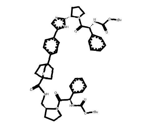 CC(C)(C)OC(=O)N[C@@H](C(=O)N1CCC[C@H]1CNC(=O)C12CCC(c3ccc(-c4cnc([C@@H]5CCCN5C(=O)[C@H](NC(=O)OC(C)(C)C)c5ccccc5)[nH]4)cc3)(CC1)CC2)c1ccccc1